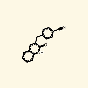 N#Cc1ccc(Cc2cc3ccccc3[nH]c2=O)cc1